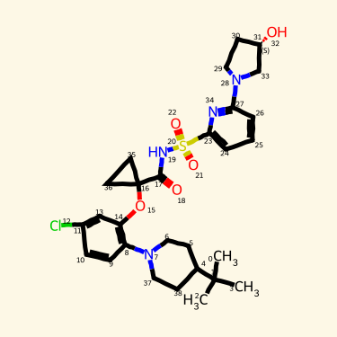 CC(C)(C)C1CCN(c2ccc(Cl)cc2OC2(C(=O)NS(=O)(=O)c3cccc(N4CC[C@H](O)C4)n3)CC2)CC1